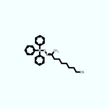 C/C(CCCCCCCC#N)=N\O[Si](c1ccccc1)(c1ccccc1)c1ccccc1